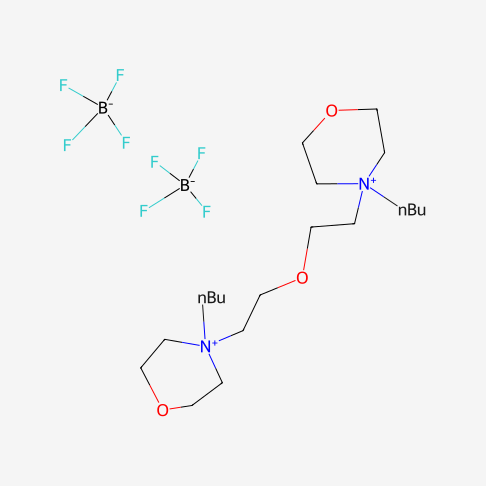 CCCC[N+]1(CCOCC[N+]2(CCCC)CCOCC2)CCOCC1.F[B-](F)(F)F.F[B-](F)(F)F